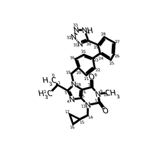 CC(C)c1nc2c(c(=O)n(C)c(=O)n2CC2CC2)n1Cc1ccc(-c2ccccc2-c2nnn[nH]2)cc1